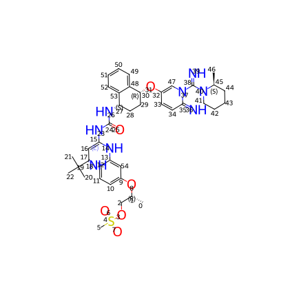 C[C@H](COS(C)(=O)=O)Oc1cccc(N/C(=C\C(=N)C(C)(C)C)NC(=O)N[C@H]2CC[C@@H](Oc3ccc(=N)n(C(=N)N4CCCC[C@@H]4C)c3)c3ccccc32)c1